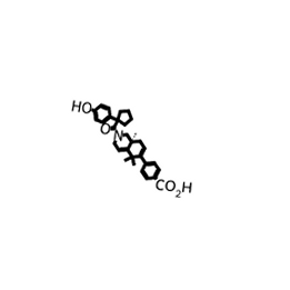 CC1(C)C(c2ccc(C(=O)O)cc2)=CC[C@]2(C)CN(C(=O)C3(c4ccc(O)cc4)CCCC3)CC=C12